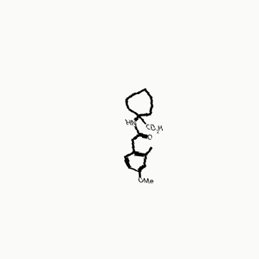 COc1ccc(CC(=O)NC2(C(=O)O)CCCCCCC2)c(C)c1